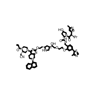 C=CC(=O)N1CCN(c2nc(OCC[C@@H]3C[C@@H](C(O)COCCOc4cc(-c5scnc5C)ccc4CNC(=O)[C@@H]4C[C@@H](O)CN4C(=O)[C@@H](c4cc(C)no4)C(C)C)CN3)nc3c2CCN(c2cccc4ccccc24)C3)C[C@@H]1CC#N